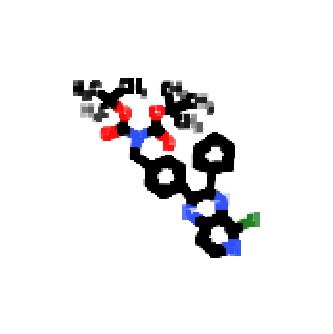 CC(C)(C)OC(=O)N(Cc1ccc(-c2nc3ccnc(Cl)c3nc2-c2ccccc2)cc1)C(=O)OC(C)(C)C